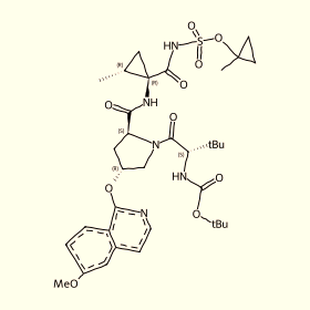 COc1ccc2c(O[C@@H]3C[C@@H](C(=O)N[C@]4(C(=O)NS(=O)(=O)OC5(C)CC5)C[C@H]4C)N(C(=O)[C@@H](NC(=O)OC(C)(C)C)C(C)(C)C)C3)nccc2c1